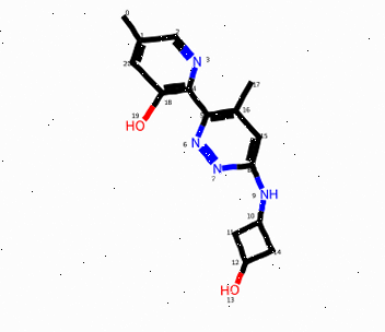 Cc1cnc(-c2nnc(NC3CC(O)C3)cc2C)c(O)c1